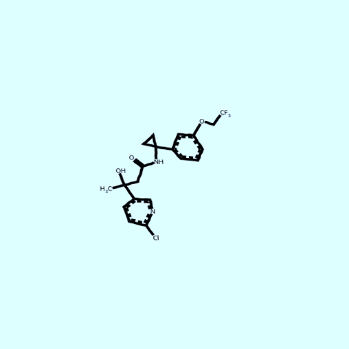 CC(O)(CC(=O)NC1(c2cccc(OCC(F)(F)F)c2)CC1)c1ccc(Cl)nc1